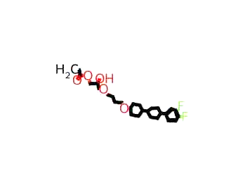 C=CC(=O)OCC(O)COCCCCOC1CCC(C2CCC(c3ccc(F)c(F)c3)CC2)CC1